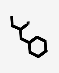 CCC(F)C[C]1CC[CH]CC1